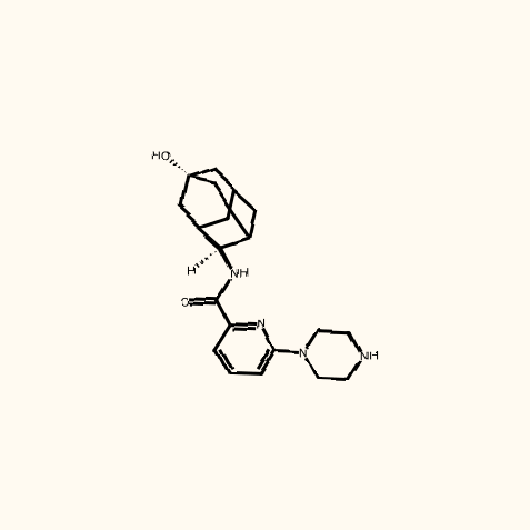 O=C(N[C@H]1C2CC3CC1C[C@](O)(C3)C2)c1cccc(N2CCNCC2)n1